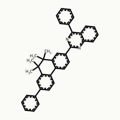 CC1(C)c2cc(-c3ccccc3)ccc2-c2ccc(-c3nc(-c4ccccc4)c4ccccc4n3)cc2C1(C)C